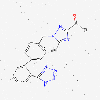 CCCCc1nc(C(=O)CC)nn1Cc1ccc(-c2ccccc2-c2nnn[nH]2)cc1